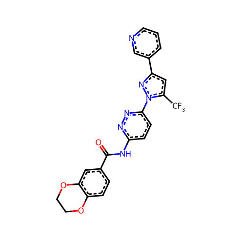 O=C(Nc1ccc(-n2nc(-c3cccnc3)cc2C(F)(F)F)nn1)c1ccc2c(c1)OCCO2